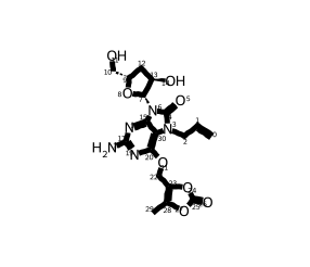 C=CCn1c(=O)n([C@@H]2O[C@H](CO)C[C@H]2O)c2nc(N)nc(OCc3oc(=O)oc3C)c21